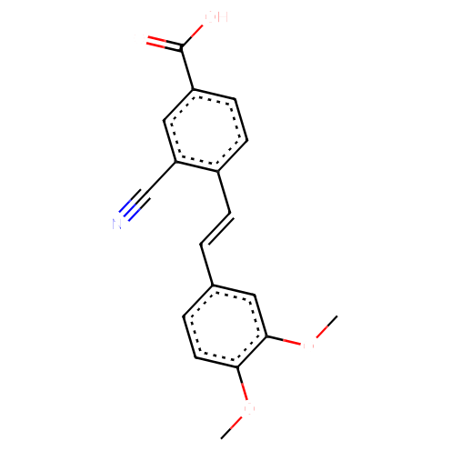 COc1ccc(C=Cc2ccc(C(=O)O)cc2C#N)cc1OC